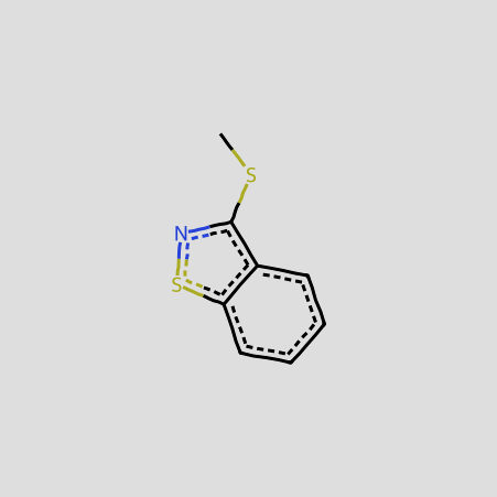 CSc1nsc2ccccc12